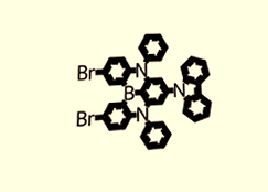 Brc1ccc2c(c1)B1c3cc(Br)ccc3N(c3ccccc3)c3cc(-n4c5ccccc5c5ccccc54)cc(c31)N2c1ccccc1